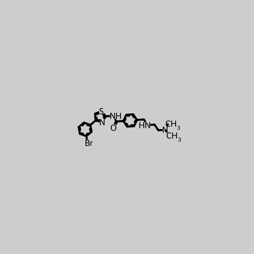 CN(C)CCNCc1ccc(C(=O)Nc2nc(-c3cccc(Br)c3)cs2)cc1